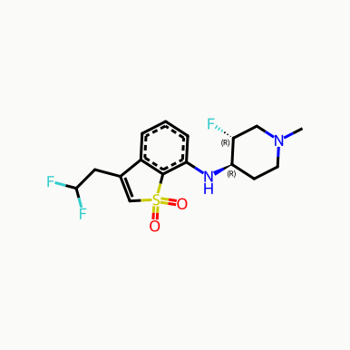 CN1CC[C@@H](Nc2cccc3c2S(=O)(=O)C=C3CC(F)F)[C@H](F)C1